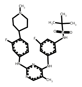 Cc1cnc(Nc2ccc(C3CCN(C)CC3)c(F)c2)nc1Nc1cc(F)cc(NS(=O)(=O)C(C)(C)C)c1